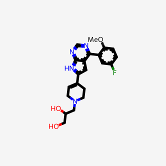 COc1ccc(F)cc1-c1ncnc2[nH]c(C3=CCN(CC(O)CO)CC3)cc12